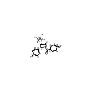 CC[Si](CC)(CC)O[C@@H]1C(=O)N(C(=O)c2ccc(Br)cc2)[C@@H]1c1ccc(F)cc1